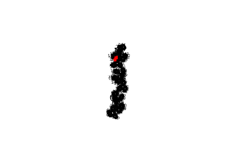 CC1(C)c2ccccc2-c2nc(-n3c4ccc5c6ccccc6c6cc(-c7ccc8sc9nc(-n%10c%11ccc%12c%13ccccc%13c%13cc(-c%14ccc%15oc%16nc(-n%17c%18ccc%19c%20ccccc%20c%20ccccc%20c%19c%18c%18ccc%19ccccc%19c%18%17)nc(-c%17ccccc%17)c%16c%15c%14)ccc%13c%12c%11c%11ccc%12ccccc%12c%11%10)nc(-c%10ccccc%10)c9c8c7)ccc6c5c4c4ccc5ccccc5c43)c(-c3ccccc3)nc21